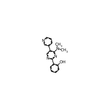 CN(C)c1nc(-c2ccccc2O)ncc1-c1cccnc1